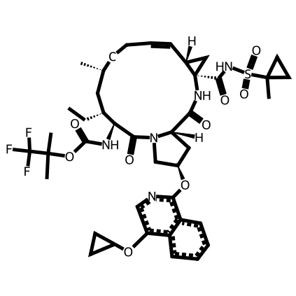 CC[C@@H]1C[C@H](C)CC/C=C\[C@@H]2C[C@@]2(C(=O)NS(=O)(=O)C2(C)CC2)NC(=O)[C@@H]2C[C@@H](Oc3ncc(OC4CC4)c4ccccc34)CN2C(=O)[C@H]1NC(=O)OC(C)(C)C(F)(F)F